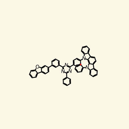 c1ccc(-c2nc(-c3ccc(-n4c5ccccc5c5ccc6c7ccccc7n(-c7ccccc7)c6c54)cc3)nc(-c3cccc(-c4ccc5c(c4)oc4ccccc45)c3)n2)cc1